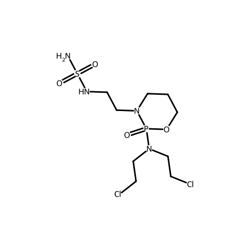 NS(=O)(=O)NCCN1CCCOP1(=O)N(CCCl)CCCl